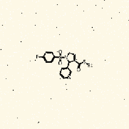 CCSC(=O)C1=CCN(S(=O)(=O)c2ccc(F)cc2)C1c1cccnc1